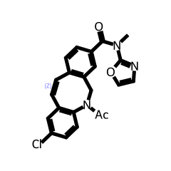 CC(=O)N1Cc2cc(C(=O)N(C)c3ncco3)ccc2/C=C\c2cc(Cl)ccc21